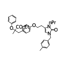 CCCn1c(CCOc2ccc(CC(C)(Oc3ccccc3)C(=O)OCC)cc2)cn(Cc2ccc(C)cc2)c1=O